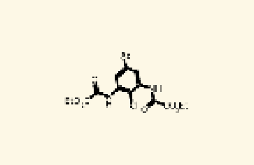 CCOC(=O)C(=O)Nc1cc(C(C)=O)cc(NC(=O)C(=O)OCC)c1Cl